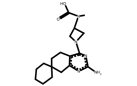 CN(C(=O)O)C1CN(c2nc(N)nc3c2CCC2(CCCCC2)C3)C1